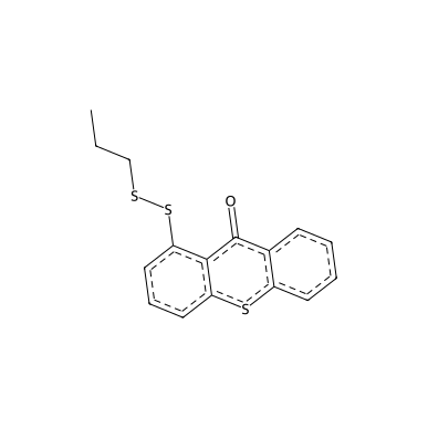 CCCSSc1cccc2sc3ccccc3c(=O)c12